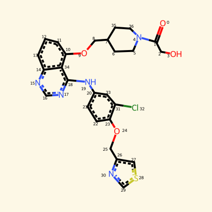 O=C(CO)N1CCC(COc2cccc3ncnc(Nc4ccc(OCc5cscn5)c(Cl)c4)c23)CC1